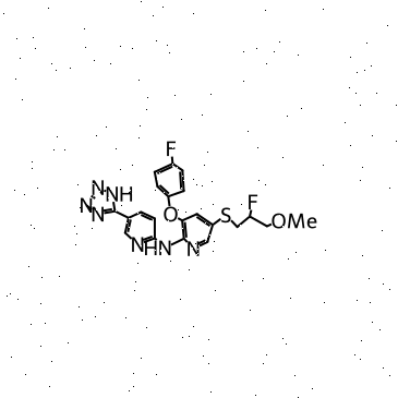 COCC(F)CSc1cnc(Nc2ccc(-c3nnn[nH]3)cn2)c(Oc2ccc(F)cc2)c1